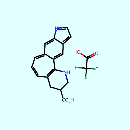 O=C(O)C(F)(F)F.O=C(O)C1CNc2c(cccc3cc4nccc4cc23)C1